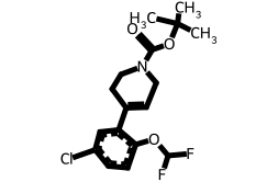 CC(C)(C)OC(=O)N1CC=C(c2cc(Cl)ccc2OC(F)F)CC1